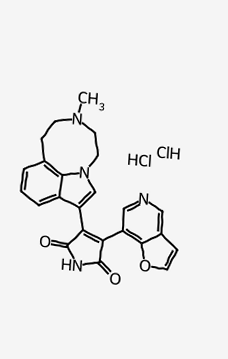 CN1CCc2cccc3c(C4=C(c5cncc6ccoc56)C(=O)NC4=O)cn(c23)CC1.Cl.Cl